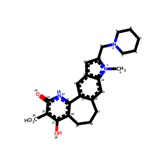 Cn1c(CN2CCCCC2)cc2cc3c(cc21)CCCc1c-3[nH]c(=O)c(C(=O)O)c1O